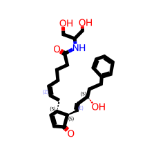 O=C(CCC/C=C\C[C@H]1C=CC(=O)[C@@H]1/C=C/[C@@H](O)CCc1ccccc1)NC(CO)CO